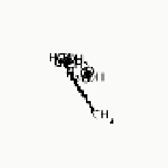 CCCCCCCCC=CCCCCCCCCC(C(=O)[O-])[N+](C)(C)C.CS(=O)(=O)O